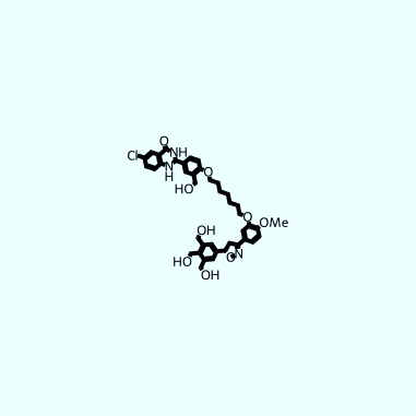 COc1ccc(C2=NOC(c3cc(CO)c(CO)c(CO)c3)C2)cc1OCCCCCCCOc1ccc(C2NC(=O)c3cc(Cl)ccc3N2)cc1CO